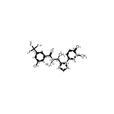 C[C@@H](c1ncnn1-c1ccc(=O)n(C)n1)N(C)C(=O)c1cc(Cl)cc(C(F)(F)F)c1